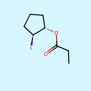 CCC(=O)O[C@H]1CCC[C@@H]1I